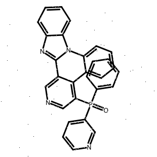 O=P(c1ccccc1)(c1cccnc1)c1cncc2c1c1ccccc1n1c3ccccc3nc21